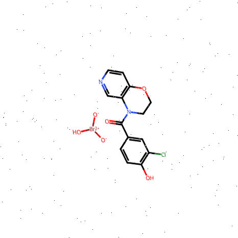 O=C(c1ccc(O)c(Cl)c1)N1CCOc2ccncc21.[O-][Br+2]([O-])O